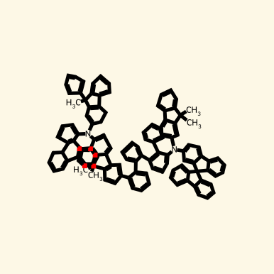 CC1(C)c2ccc(-c3ccccc3-c3ccccc3-c3cccc(N(c4ccc5c(c4)C(C)(C)c4ccccc4-5)c4ccc5c(c4)C4(c6ccccc6-c6ccccc64)c4ccccc4-5)c3-c3ccccc3)cc2-c2ccc(N(C3=CC4=C(CC3)c3ccccc3C4(C)c3ccccc3)c3cccc(C4CC=CC=C4c4ccccc4)c3C3=CC=CCC3)cc21